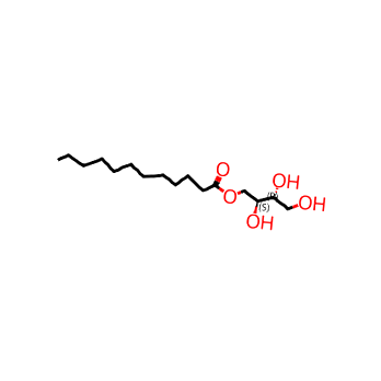 CCCCCCCCCCCC(=O)OC[C@H](O)[C@H](O)CO